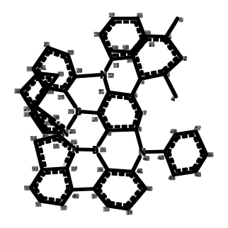 Cc1cc(C)c(-c2cc3c(c4c2N(c2ccccc2)c2cccc5c2B4n2ccc4cccc-5c42)B2c4c(cccc4N3c3ccccc3)-c3cccc4ccn2c34)c(C)c1